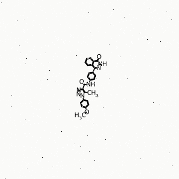 COc1ccc(-n2nnc(C(=O)Nc3ccc(-c4n[nH]c(=O)c5ccccc45)cc3)c2C)cc1